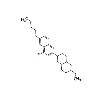 CC=CCCc1ccc2cc(C3CCC4CC(CC)CCC4C3)cc(F)c2c1